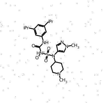 CC(C)c1cc(NC(=O)[NH+]([O-])S(=O)(=O)N(c2cnn(C)c2)C2CCN(C)CC2)cc(C(C)C)c1